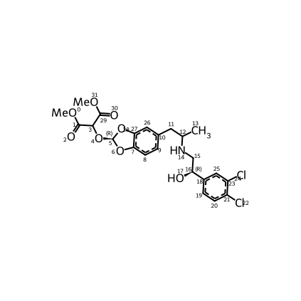 COC(=O)C(O[C@@H]1Oc2ccc(CC(C)NC[C@H](O)c3ccc(Cl)c(Cl)c3)cc2O1)C(=O)OC